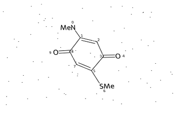 CNC1=CC(=O)C(SC)=CC1=O